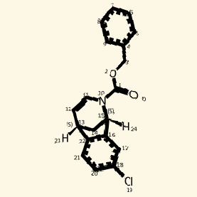 O=C(OCc1ccccc1)N1C=C[C@@H]2C[C@H]1c1cc(Cl)ccc12